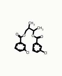 CC(COC(=O)c1cccc(Cl)c1)C(C)OC(=O)c1cccc(Cl)c1